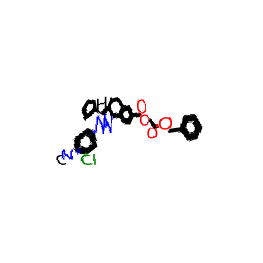 [C-]#[N+]c1ccc(N2N=C3c4ccc(C(=O)OCC(=O)OCc5ccccc5)cc4CC[C@@H]3[C@@H]2C2CCCC2)cc1Cl